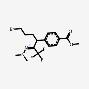 COC(=O)c1ccc(C(CCCBr)/C(=N/N(C)C)C(F)(F)F)cc1